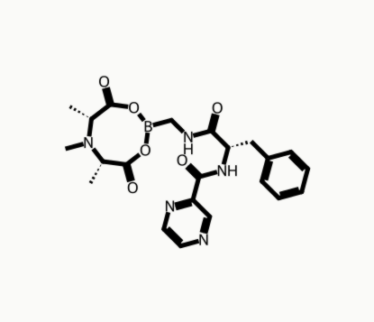 C[C@@H]1C(=O)OB(CNC(=O)[C@H](Cc2ccccc2)NC(=O)c2cnccn2)OC(=O)[C@H](C)N1C